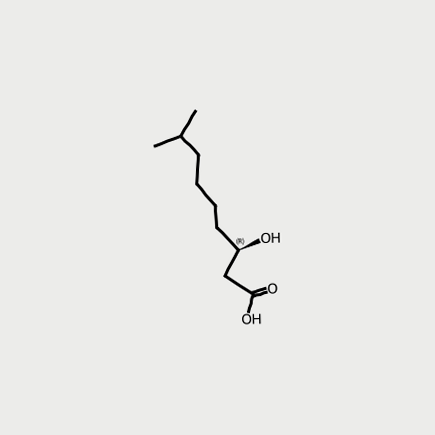 CC(C)CCCC[C@@H](O)CC(=O)O